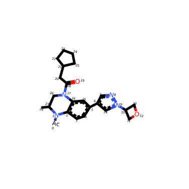 CC(=O)N1c2ccc(-c3cnn(C4COC4)c3)cc2N(C(=O)CC2CCCC2)CC1C